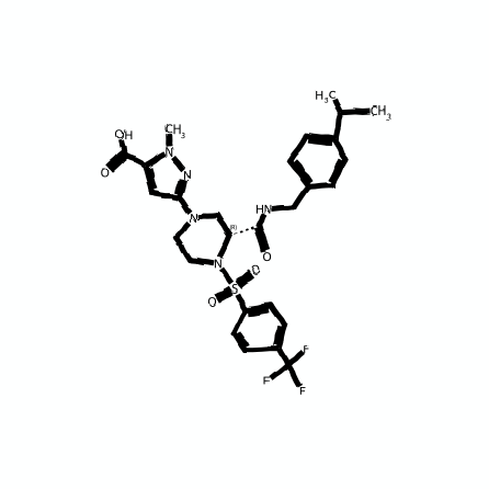 CC(C)c1ccc(CNC(=O)[C@H]2CN(c3cc(C(=O)O)n(C)n3)CCN2S(=O)(=O)c2ccc(C(F)(F)F)cc2)cc1